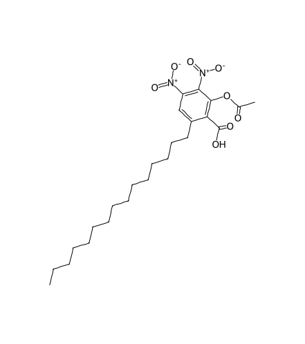 CCCCCCCCCCCCCCCc1cc([N+](=O)[O-])c([N+](=O)[O-])c(OC(C)=O)c1C(=O)O